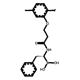 Cc1ccc(F)c(OCCC(=O)N[C@@H](Cc2ccccc2)B(O)O)c1